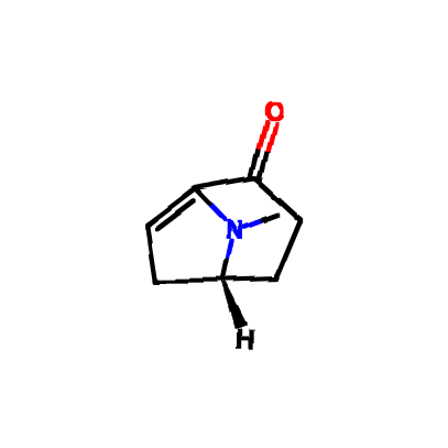 CN1C2=CC[C@H]1CCC2=O